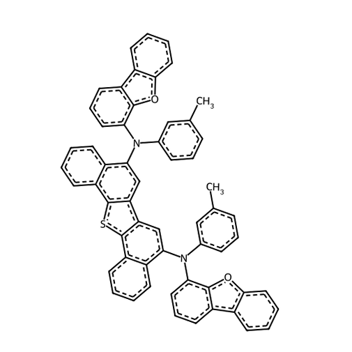 Cc1cccc(N(c2cc3c4cc(N(c5cccc(C)c5)c5cccc6c5oc5ccccc56)c5ccccc5c4sc3c3ccccc23)c2cccc3c2oc2ccccc23)c1